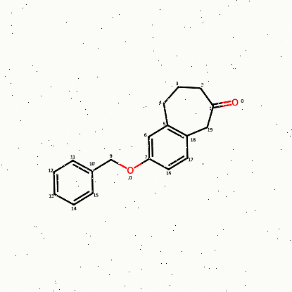 O=C1CCCc2cc(OCc3ccccc3)ccc2C1